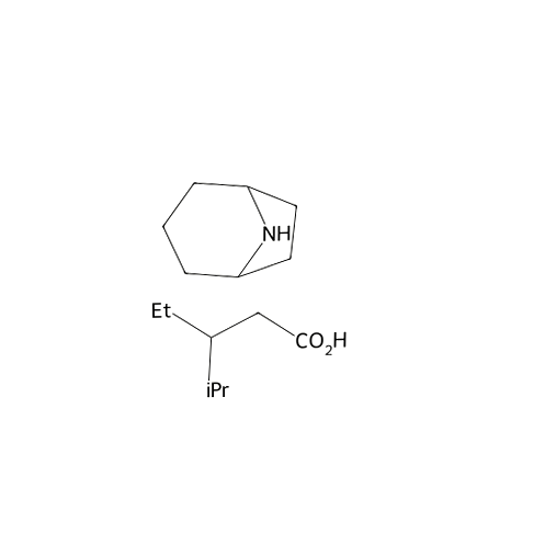 C1CC2CCC(C1)N2.CCC(CC(=O)O)C(C)C